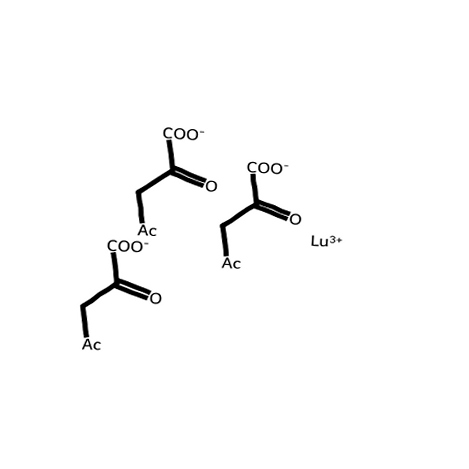 CC(=O)CC(=O)C(=O)[O-].CC(=O)CC(=O)C(=O)[O-].CC(=O)CC(=O)C(=O)[O-].[Lu+3]